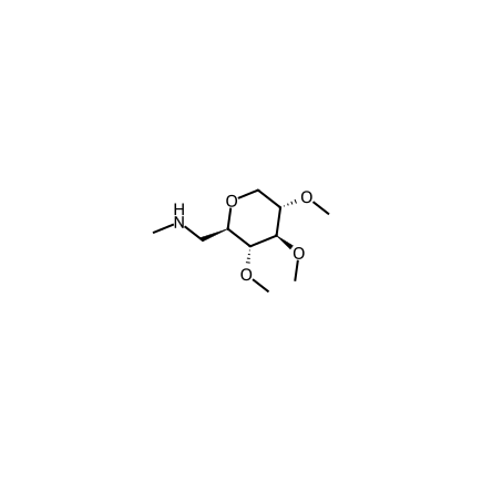 CNC[C@H]1OC[C@H](OC)[C@@H](OC)[C@@H]1OC